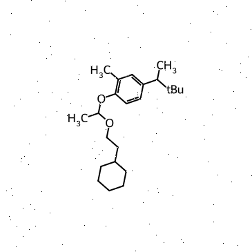 Cc1cc(C(C)C(C)(C)C)ccc1OC(C)OCCC1CCCCC1